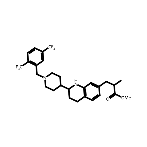 COC(=O)C(C)Cc1ccc2c(c1)NC(C1CCN(Cc3cc(C(F)(F)F)ccc3C(F)(F)F)CC1)CC2